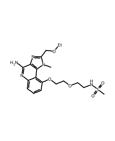 CCOCc1nc2c(N)nc3cccc(OCCOCCNS(C)(=O)=O)c3c2n1C